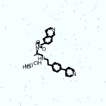 C[C@H](CNCCc1ccc(-c2ccncc2)cc1)NS(=O)(=O)c1ccc2cnccc2c1.Cl.Cl.Cl